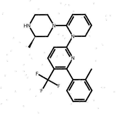 Cc1ccccc1-c1nc(N2CC=CC=C2N2CCN[C@H](C)C2)ccc1C(F)(F)F